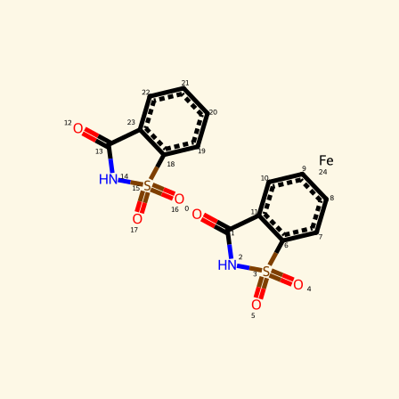 O=C1NS(=O)(=O)c2ccccc21.O=C1NS(=O)(=O)c2ccccc21.[Fe]